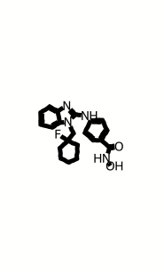 O=C(NO)c1ccc(Nc2nc3ccccc3n2CC2(F)CCCCC2)cc1